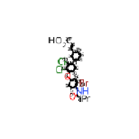 CC(C)C(=O)Nc1ccc(Oc2ccc(-c3cccc(C=CC(=O)O)c3)c(Cl)c2Cl)cc1Br